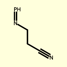 N#CCCN=P